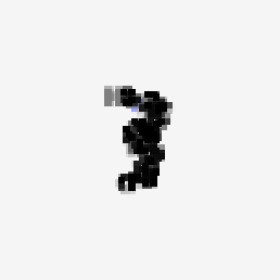 Nc1ncnc2c1c(-c1ccc(Oc3ccc(Cl)cn3)cc1)nn2[C@H]1CCC2(CC2)N(C(=O)/C=C/CO)C1